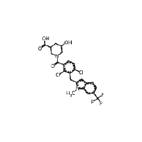 Cn1c(Cc2c(Cl)ccc(C(=O)N3CC(O)CC(C(=O)O)C3)c2Cl)cc2ccc(C(F)(F)F)cc21